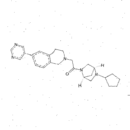 O=C(CN1CCc2cc(-c3cncnc3)ccc2C1)N1C[C@@H]2C[C@H]1CN2C1CCCC1